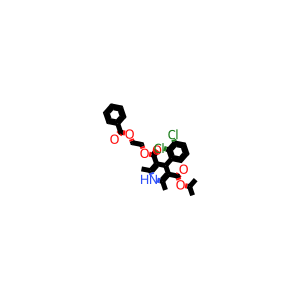 CC1=C(C(=O)OCCOC(=O)c2ccccc2)C(c2cccc(Cl)c2Cl)C(C(=O)OC(C)C)=C(C)N1